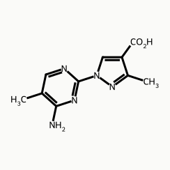 Cc1cnc(-n2cc(C(=O)O)c(C)n2)nc1N